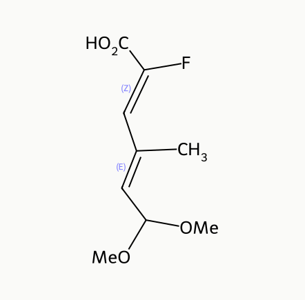 COC(/C=C(C)/C=C(\F)C(=O)O)OC